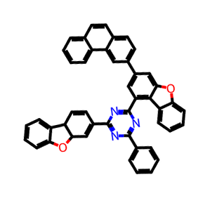 C1=CC2c3ccccc3OC2C=C1c1nc(-c2ccccc2)nc(-c2cc(-c3ccc4ccc5ccccc5c4c3)cc3oc4ccccc4c23)n1